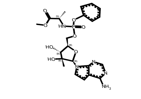 COC(=O)[C@H](C)NP(=O)(OC[C@H]1O[C@@H](n2ccc3c(N)ncnc32)[C@](C)(O)[C@@H]1O)Oc1ccccc1